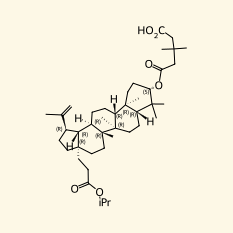 C=C(C)[C@@H]1CC[C@]2(CCC(=O)OC(C)C)CC[C@]3(C)[C@H](CC[C@@H]4[C@@]5(C)CC[C@H](OC(=O)CC(C)(C)CC(=O)O)C(C)(C)[C@@H]5CC[C@]43C)[C@@H]12